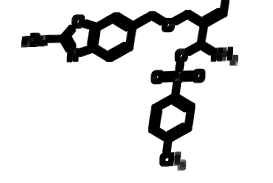 CCCCc1nc2ccc(COC/C(=C\F)C(N)OS(=O)(=O)c3ccc(C)cc3)cc2o1